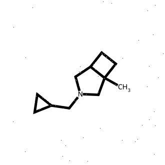 CC12CCC1CN(CC1CC1)C2